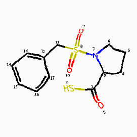 O=C(S)C1CCCN1S(=O)(=O)Cc1ccccc1